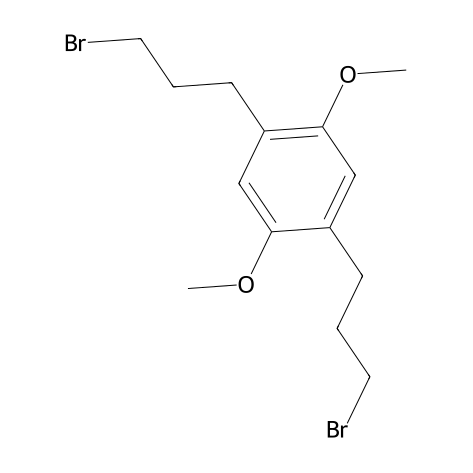 COc1cc(CCCBr)c(OC)cc1CCCBr